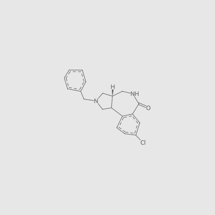 O=C1NC[C@H]2CN(Cc3ccccc3)CC2c2ccc(Cl)cc21